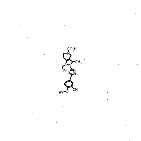 CC(C)CN1C2=C(CN(C(=O)O)CC2)C(C)N1c1nnc(-c2ccc(OC(C)C)c(C#N)c2)s1